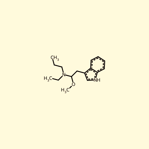 CCCN(CC)C(Cc1c[nH]c2ccccc12)OC